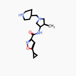 CC1CN(CC2CCNCC2)CC1NC(=O)c1cc(C2CC2)on1